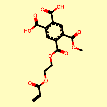 C=CC(=O)OCCOC(=O)c1cc(C(=O)O)c(C(=O)O)cc1C(=O)OC